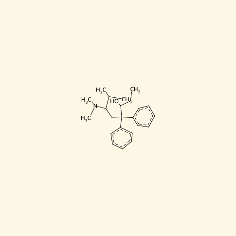 CCC(O)C(CC(C(C)C)N(C)C)(c1ccccc1)c1ccccc1